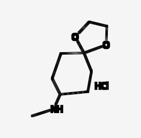 CNC1CCC2(CC1)OCCO2.Cl